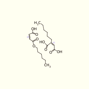 CCCCCC/C(=C/C(=O)O)C(=O)O.CCCCCCOC(=O)/C=C\C(=O)O